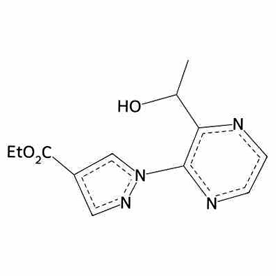 CCOC(=O)c1cnn(-c2nccnc2C(C)O)c1